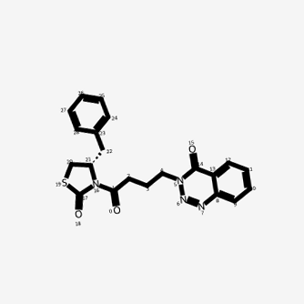 O=C(CCCn1nnc2ccccc2c1=O)N1C(=O)SC[C@@H]1Cc1ccccc1